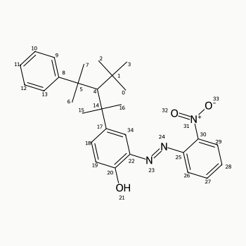 CC(C)(C)C(C(C)(C)c1ccccc1)C(C)(C)c1ccc(O)c(N=Nc2ccccc2[N+](=O)[O-])c1